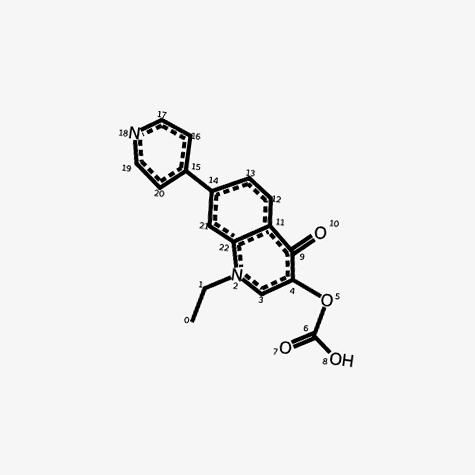 CCn1cc(OC(=O)O)c(=O)c2ccc(-c3ccncc3)cc21